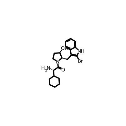 CC(=O)O[C@@H]1CCN(C(=O)[C@@H](N)C2CCCCC2)[C@@H]1Cc1c(Br)[nH]c2ccccc12